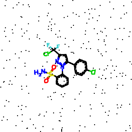 NS(=O)(=O)c1ccccc1-n1nc(C(F)(F)Cl)cc1-c1ccc(Cl)cc1